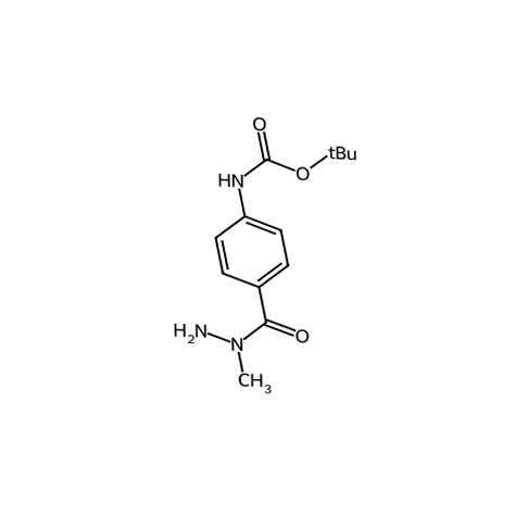 CN(N)C(=O)c1ccc(NC(=O)OC(C)(C)C)cc1